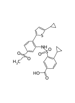 CS(=O)(=O)c1ccc(-c2ccc(C3CC3)s2)c(NS(=O)(=O)c2cc(C(=O)O)ccc2C2CC2)c1